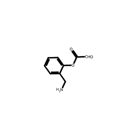 NCc1ccccc1OC(=O)C=O